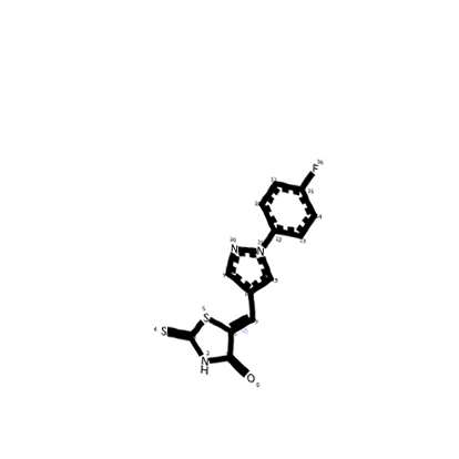 O=C1NC(=S)S/C1=C\c1cnn(-c2ccc(F)cc2)c1